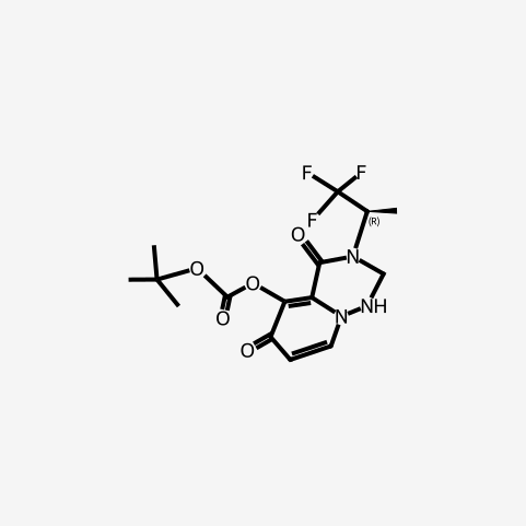 C[C@@H](N1CNn2ccc(=O)c(OC(=O)OC(C)(C)C)c2C1=O)C(F)(F)F